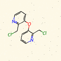 ClCc1ncccc1Oc1cccnc1CCl